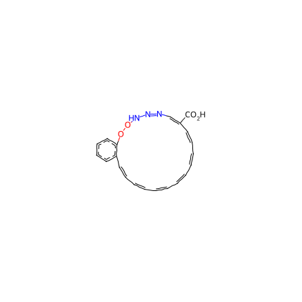 O=C(O)C1=CN=NNOOc2ccccc2C=CC=CC=CC=CC=CC=C1